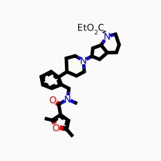 CCOC(=O)N1CCCC2CC(N3CCC(c4ccccc4CN(C)C(=O)c4cc(C)oc4C)CC3)CC21